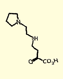 O=C(O)C(=O)CCNCCN1CCCC1